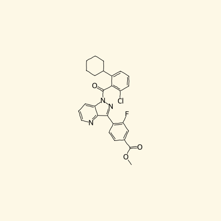 COC(=O)c1ccc(-c2nn(C(=O)c3c(Cl)cccc3C3CCCCC3)c3cccnc23)c(F)c1